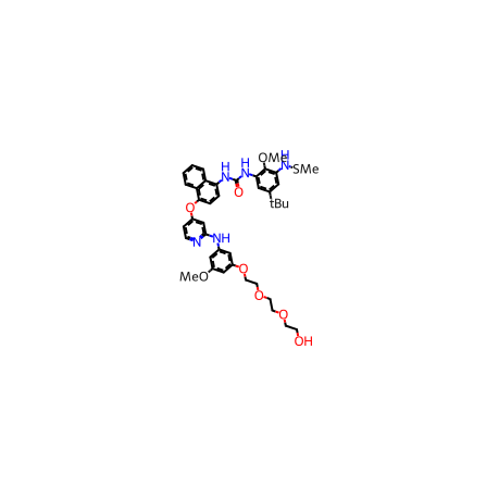 COc1cc(Nc2cc(Oc3ccc(NC(=O)Nc4cc(C(C)(C)C)cc(NSC)c4OC)c4ccccc34)ccn2)cc(OCCOCCOCCO)c1